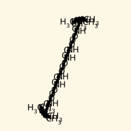 CN(C)c1ccc2cc3ccc(N(C)C)cc3[n+](CCCCCC(=O)NCCCOCCOCCOCCCNC(=O)CCCC(=O)NCCCOCCOCCOCCCNC(=O)CCCC(=O)NCCCOCCOCCOCCCNC(=O)CCCCC[n+]3c4cc(N(C)C)ccc4cc4ccc(N(C)C)cc43)c2c1